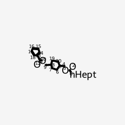 CCCCCCCC(=O)OCC1CCC(COC(=O)c2ccccc2)CC1